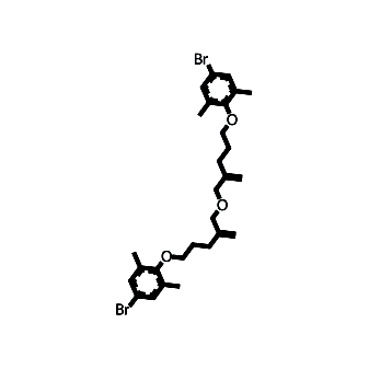 C=C(CCCOc1c(C)cc(Br)cc1C)COCC(=C)CCCOc1c(C)cc(Br)cc1C